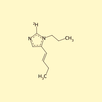 [2H]c1ncc(C=CCC)n1CCC